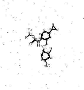 CCc1ccc(OCc2cc(C3CC3)ccc2NC(=O)OC(F)F)c(C)c1